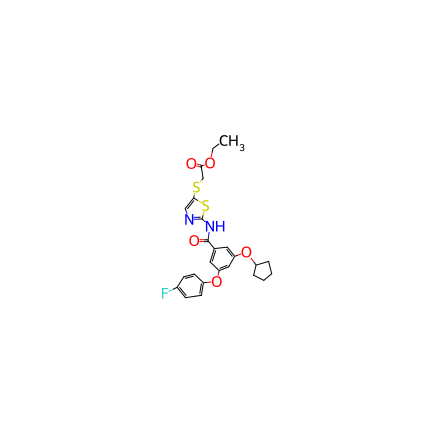 CCOC(=O)CSc1cnc(NC(=O)c2cc(Oc3ccc(F)cc3)cc(OC3CCCC3)c2)s1